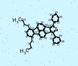 CCCCc1ccc(CCCC)c2c1-c1ccc3c4c(ccc-2c14)-c1c(-c2ccccc2)sc(-c2ccccc2)c1-3